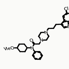 COC1CCC(N(C(=O)CN2CCN(CCCc3c[nH]c4ccc(Cl)cc34)CC2)c2ccccc2)CC1